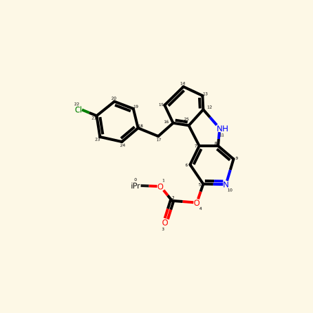 CC(C)OC(=O)Oc1cc2c(cn1)[nH]c1cccc(Cc3ccc(Cl)cc3)c12